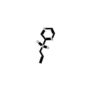 C=CCS(=O)(=O)c1cnccn1